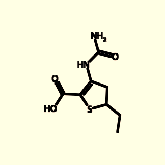 CCC1CC(NC(N)=O)=C(C(=O)O)S1